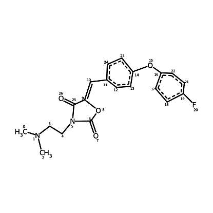 CN(C)CCN1C(=O)O/C(=C\c2ccc(Oc3ccc(F)cc3)cc2)C1=O